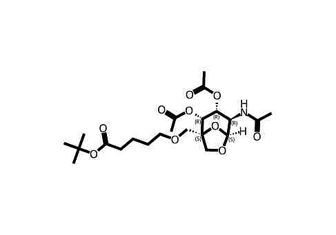 CC(=O)N[C@H]1[C@H]2OC[C@](COCCCCC(=O)OC(C)(C)C)(O2)[C@H](OC(C)=O)[C@@H]1OC(C)=O